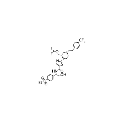 CCS(=O)(=O)c1ccc([C@H](CO)NC(=O)c2cnc(N3CCN(CCc4ccc(C(F)(F)F)cc4)CC3COC(F)F)s2)cc1